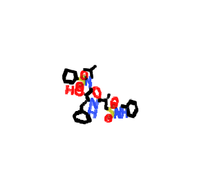 CC(C)CN(C[C@@H](O)[C@H](Cc1ccccc1)NC(=O)[C@@H](C)CS(=O)(=O)NCc1ccccc1)S(=O)(=O)c1ccccc1